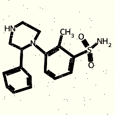 Cc1c(N2CCNCC2c2ccccc2)cccc1S(N)(=O)=O